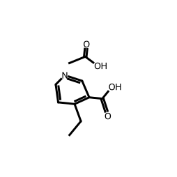 CC(=O)O.CCc1ccncc1C(=O)O